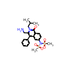 CC(C)Cn1c(CN)c(-c2ccccc2)c2cc(N(S(C)(=O)=O)S(C)(=O)=O)ccc2c1=O